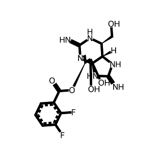 N=C1N[C@H]2[C@H](CO)NC(=N)N3C[C@H](OC(=O)c4cccc(F)c4F)C(O)(O)[C@]23N1